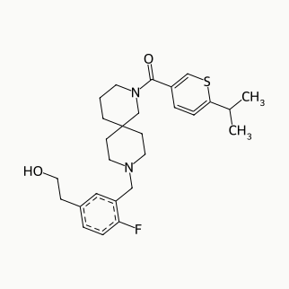 CC(C)C1=C=CC(C(=O)N2CCCC3(CCN(Cc4cc(CCO)ccc4F)CC3)C2)=CS1